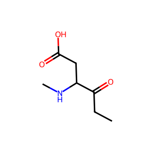 CCC(=O)C(CC(=O)O)NC